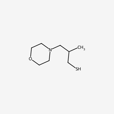 CC(CS)CN1CCOCC1